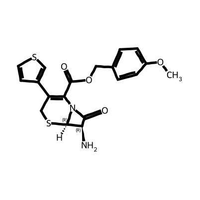 COc1ccc(COC(=O)C2=C(c3ccsc3)CS[C@@H]3[C@H](N)C(=O)N23)cc1